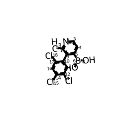 Cc1nccc(B(O)O)c1-c1cc(Cl)c(Cl)cc1Cl